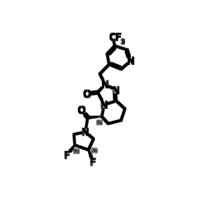 O=C([C@@H]1CCCc2nn(Cc3cncc(C(F)(F)F)c3)c(=O)n21)N1C[C@@H](F)[C@@H](F)C1